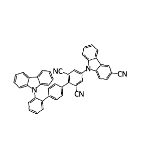 N#Cc1ccc2c(c1)c1ccccc1n2-c1cc(C#N)c(-c2ccc(-c3ccccc3-n3c4ccccc4c4ccccc43)cc2)c(C#N)c1